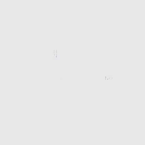 O=NCCc1c[nH]c2ccccc12